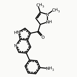 CC1=CC(C(=O)c2c[nH]c3ncc(-c4cccc(N)c4)cc23)NN1C